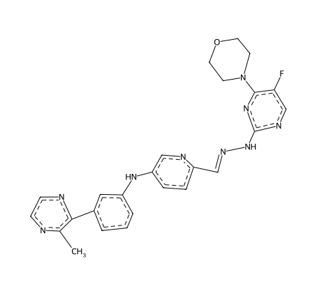 Cc1nccnc1-c1cccc(Nc2ccc(/C=N/Nc3ncc(F)c(N4CCOCC4)n3)nc2)c1